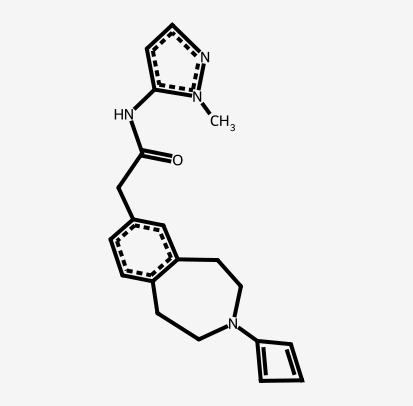 Cn1nccc1NC(=O)Cc1ccc2c(c1)CCN(C1=CC=C1)CC2